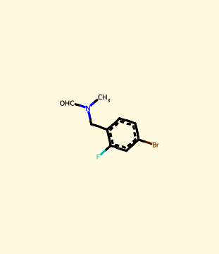 CN(C=O)Cc1ccc(Br)cc1F